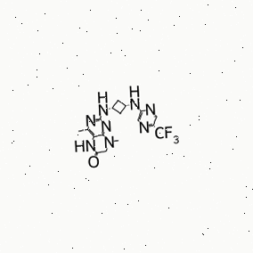 Cc1nc(N[C@H]2C[C@@H](Nc3cnc(C(F)(F)F)cn3)C2)nc2c1NC(=O)CN2C